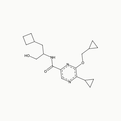 O=C(NC(CO)CC1CCC1)c1cnc(C2CC2)c(OCC2CC2)n1